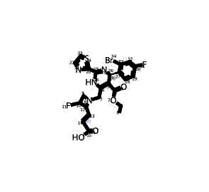 CCOC(=O)C1=C(CN2CC(F)C2/C=C/C(=O)O)NC(c2nccs2)=N[C@H]1c1ccc(F)cc1Br